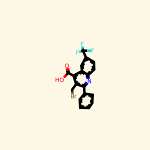 O=C(O)c1c(CBr)c(-c2ccccc2)nc2ccc(C(F)(F)F)cc12